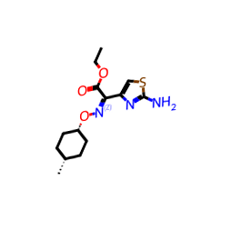 CCOC(=O)/C(=N\O[C@H]1CC[C@@H](C)CC1)c1csc(N)n1